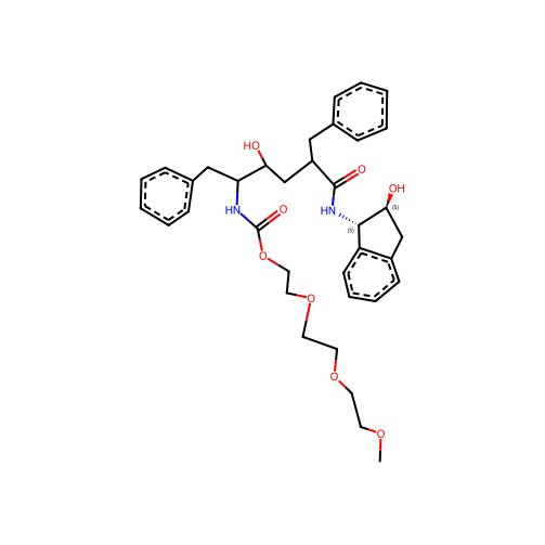 COCCOCCOCCOC(=O)NC(Cc1ccccc1)C(O)CC(Cc1ccccc1)C(=O)N[C@H]1c2ccccc2C[C@@H]1O